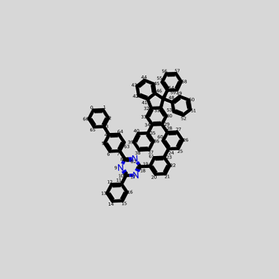 c1ccc(-c2ccc(-c3nc(-c4ccccc4)nc(-c4cccc(-c5cccc(-c6cc7c(cc6-c6ccccc6)-c6ccccc6C7(c6ccccc6)c6ccccc6)c5)c4)n3)cc2)cc1